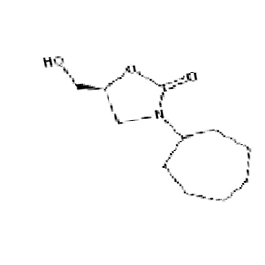 O=C1O[C@H](CO)CN1C1CCCCCC1